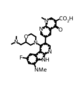 CNc1cc(F)cc2c1[nH]c1ncc(-c3cnc4c(c3)c(=O)c(C(=O)O)cn4C)c(N3CCOC(CN(C)C)C3)c12